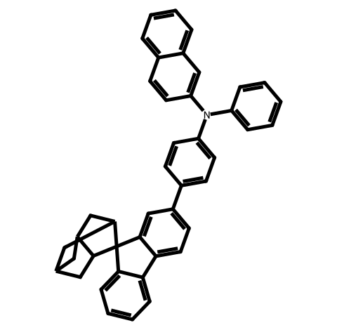 c1ccc(N(c2ccc(-c3ccc4c(c3)C3(c5ccccc5-4)C4CC5CC(C4)C3C5)cc2)c2ccc3ccccc3c2)cc1